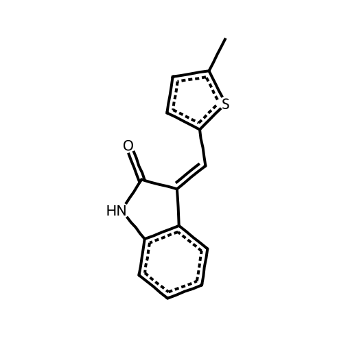 Cc1ccc(C=C2C(=O)Nc3ccccc32)s1